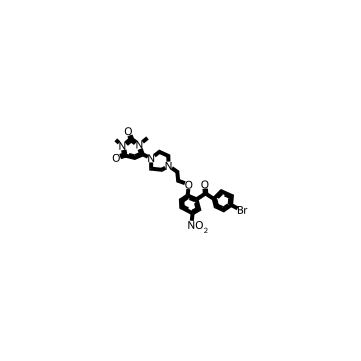 Cn1c(N2CCN(CCOc3ccc([N+](=O)[O-])cc3C(=O)c3ccc(Br)cc3)CC2)cc(=O)n(C)c1=O